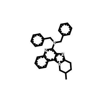 CC1CCc2nc3c(N(Cc4ccccc4)Cc4ccccc4)nc4ccccc4c3n2C1